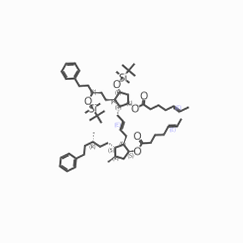 C/C=C/CCCC(=O)O[C@H]1C[C@@H](C)[C@H](CC[C@@H](C)CCc2ccccc2)[C@H]1C/C=C/C[C@@H]1[C@@H](CC[C@H](CCc2ccccc2)O[Si](C)(C)C(C)(C)C)[C@H](O[Si](C)(C)C(C)(C)C)C[C@@H]1OC(=O)CCC/C=C/C